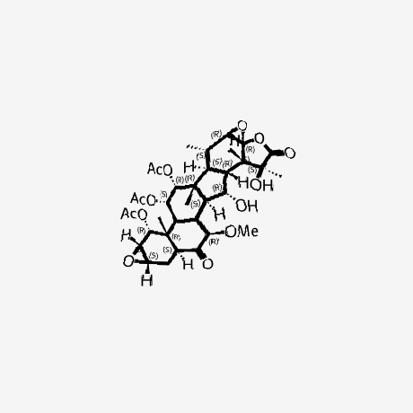 CO[C@H]1C(=O)[C@H]2C[C@@H]3O[C@@H]3[C@H](OC(C)=O)[C@]2(C)C2C1[C@@H]1[C@@H](O)[C@@H]3[C@H]([C@H](C)[C@H]4O[C@]45OC(=O)[C@@](C)(O)[C@]35C)[C@@]1(C)[C@@H](OC(C)=O)[C@H]2OC(C)=O